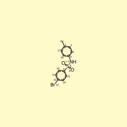 [CH2]c1ccc(NS(=O)(=O)c2ccc(Br)cc2)cc1